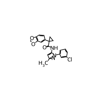 Cc1cc(NC(=O)C2(c3ccc4c(c3)OCO4)CC2)n(-c2cccc(Cl)c2)n1